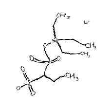 CCC(S(=O)(=O)[O-])S(=O)(=O)O[Si](CC)(CC)CC.[Li+]